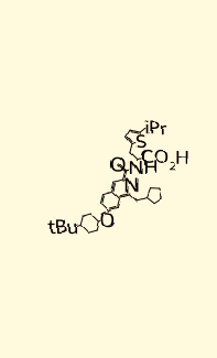 CC(C)c1ccc(CC(NC(=O)c2cc3ccc(OC4CCC(C(C)(C)C)CC4)cc3c(CC3CCCC3)n2)C(=O)O)s1